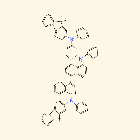 CC1(C)c2ccccc2-c2ccc(N(c3ccccc3)c3ccc4c(c3)N(c3ccccc3)c3cccc5c(-c6ccc(N(c7ccccc7)c7ccc8c(c7)C(C)(C)c7ccccc7-8)c7ccccc67)ccc-4c35)cc21